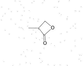 C[C]1COC1=O